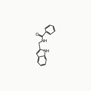 O=C(NCc1cc2ccccc2[nH]1)c1ccccc1